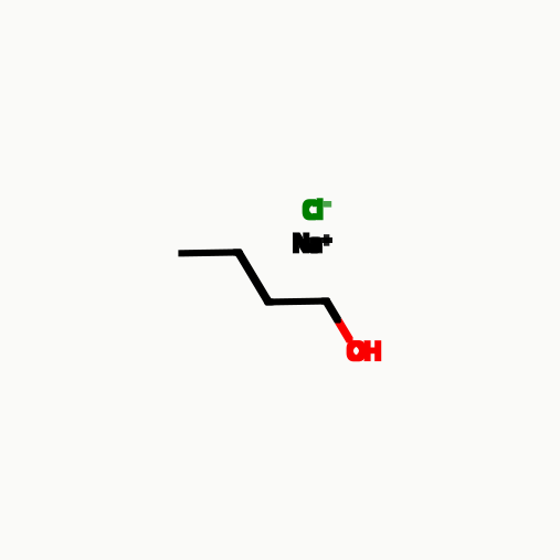 CCCCO.[Cl-].[Na+]